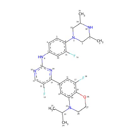 CC1CN(c2ccc(Nc3ncc(F)c(-c4cc(F)c5c(c4)N(C(C)C)CCO5)n3)cc2F)CC(C)N1